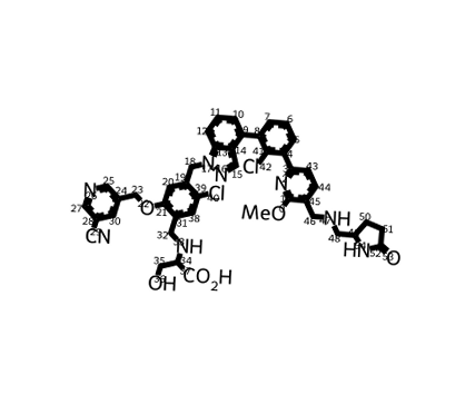 COc1nc(-c2cccc(-c3cccc4c3cnn4Cc3cc(OCc4cncc(C#N)c4)c(CNC(CO)C(=O)O)cc3Cl)c2Cl)ccc1CNCC1CCC(=O)N1